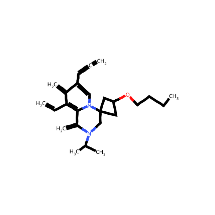 C=C=CC1=CN2C(=C(C=C)C1=C)C(=C)N(C(C)C)CC21CC(OCCCC)C1